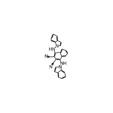 N#Cc1c(C#N)c(Nn2ccc3ccccc32)c2ccccc2c1Nn1ccc2ccccc21